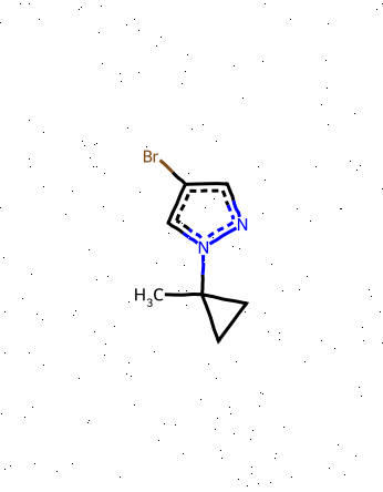 CC1(n2cc(Br)cn2)CC1